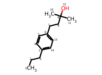 CCCc1ccc(CCC(C)(C)O)cc1